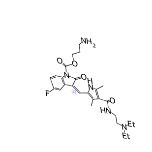 CCN(CC)CCNC(=O)c1c(C)[nH]c(/C=C2\C(=O)N(C(=O)OCCCN)c3ccc(F)cc32)c1C